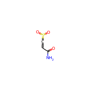 NC(=O)C=C=S(=O)=O